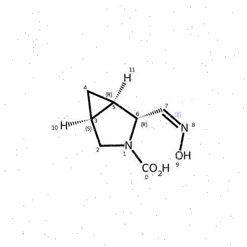 O=C(O)N1C[C@H]2C[C@H]2[C@@H]1/C=N\O